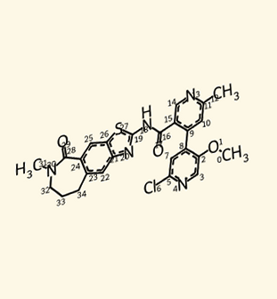 COc1cnc(Cl)cc1-c1cc(C)ncc1C(=O)Nc1nc2cc3c(cc2s1)C(=O)N(C)CCC3